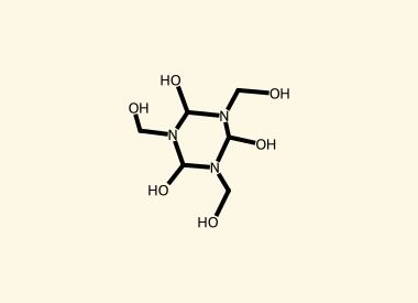 OCN1C(O)N(CO)C(O)N(CO)C1O